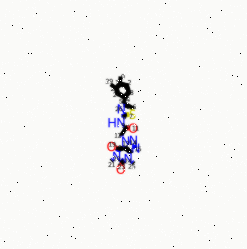 Cc1ccc(-c2csc(NC(=O)Cn3nnc4c3c(=O)n(C)c(=O)n4C)n2)cc1C